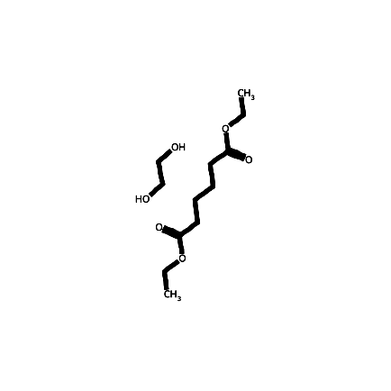 CCOC(=O)CCCCC(=O)OCC.OCCO